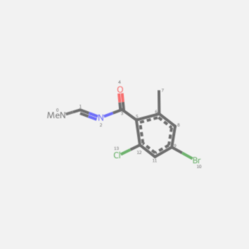 CN/C=N/C(=O)c1c(C)cc(Br)cc1Cl